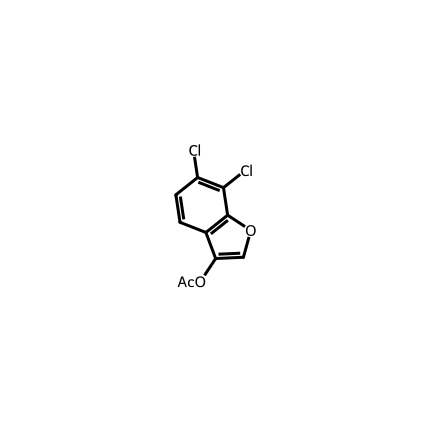 CC(=O)Oc1coc2c(Cl)c(Cl)ccc12